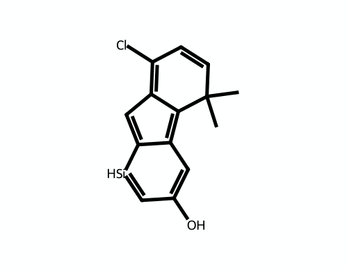 CC1(C)C=CC(Cl)=C2C=c3[siH]cc(O)cc3=C21